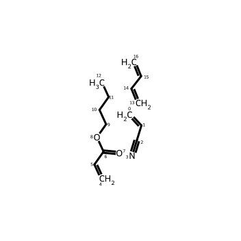 C=CC#N.C=CC(=O)OCCCC.C=CC=C